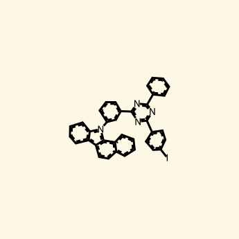 Ic1ccc(-c2nc(-c3ccccc3)nc(-c3cccc(-n4c5ccccc5c5ccc6ccccc6c54)c3)n2)cc1